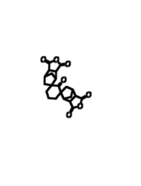 O=C1OC(=O)C2C1C1CC2C2(CCCC3(CC4CC3C3C(=O)OC(=O)C43)C2=O)C1